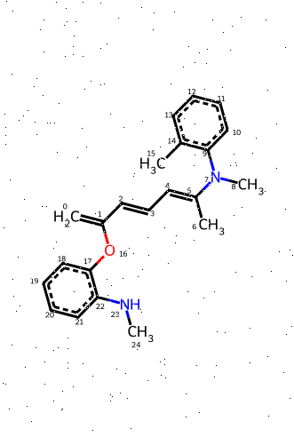 C=C(C=CC=C(C)N(C)c1ccccc1C)Oc1ccccc1NC